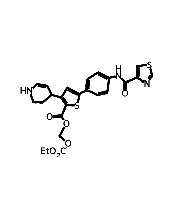 CCOC(=O)OCOC(=O)c1sc(-c2ccc(NC(=O)c3cscn3)cc2)cc1C1C=CNCC1